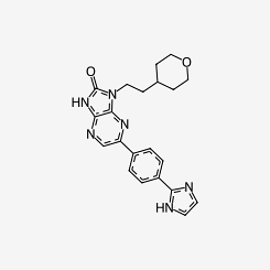 O=c1[nH]c2ncc(-c3ccc(-c4ncc[nH]4)cc3)nc2n1CCC1CCOCC1